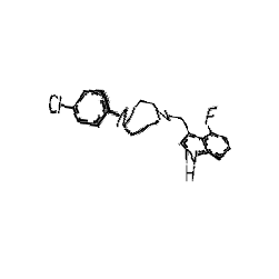 Fc1cccc2[nH]cc(CN3CCN(c4ccc(Cl)cc4)CC3)c12